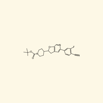 CC(C)(C)OC(=O)N1CCC(C2Cc3cc(-c4ccc(C#N)c(F)c4)ncc3O2)CC1